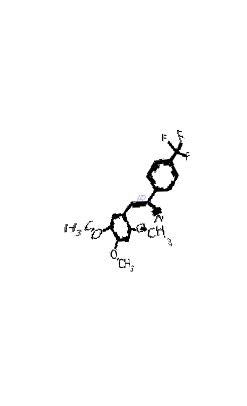 COc1cc(OC)c(OC)cc1/C=C(\C#N)c1ccc(C(F)(F)F)cc1